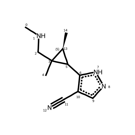 CNCC1(C)C(c2[nH]ncc2C#N)[C@@H]1C